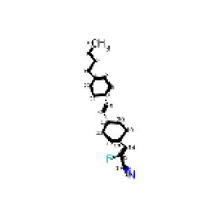 CCCC[C@H]1CC[C@H](C=C[C@H]2CC[C@H](C=C(F)C#N)CC2)CC1